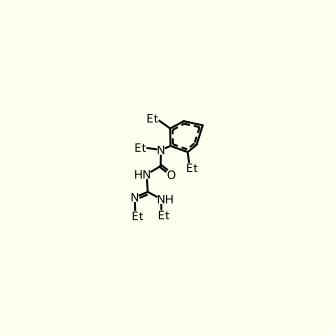 CCN=C(NCC)NC(=O)N(CC)c1c(CC)cccc1CC